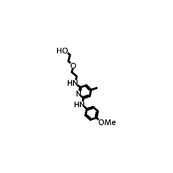 COc1ccc(Nc2cc(C)cc(NCCOCCO)n2)cc1